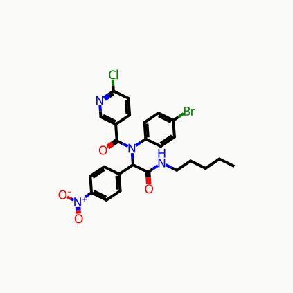 CCCCCNC(=O)C(c1ccc([N+](=O)[O-])cc1)N(C(=O)c1ccc(Cl)nc1)c1ccc(Br)cc1